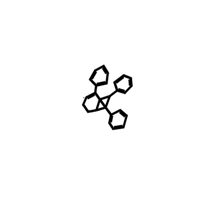 [C]1=C(c2ccccc2)C23C(CC1)C2(c1ccccc1)C3c1ccccc1